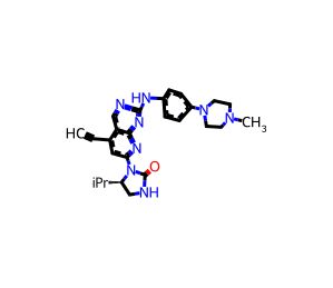 C#Cc1cc(N2C(=O)NC[C@H]2C(C)C)nc2nc(Nc3ccc(N4CCN(C)CC4)cc3)ncc12